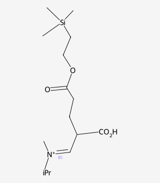 CC(C)/[N+](C)=C/C(CCC(=O)OCC[Si](C)(C)C)C(=O)O